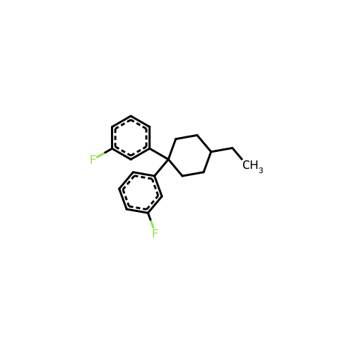 CCC1CCC(c2cccc(F)c2)(c2cccc(F)c2)CC1